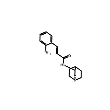 Nc1ccccc1C=CC(=O)NC1CN2CCC1CC2